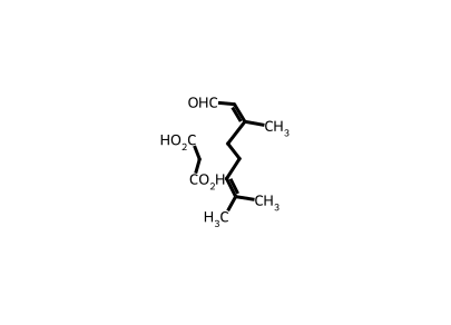 CC(C)=CCCC(C)=CC=O.O=C(O)CC(=O)O